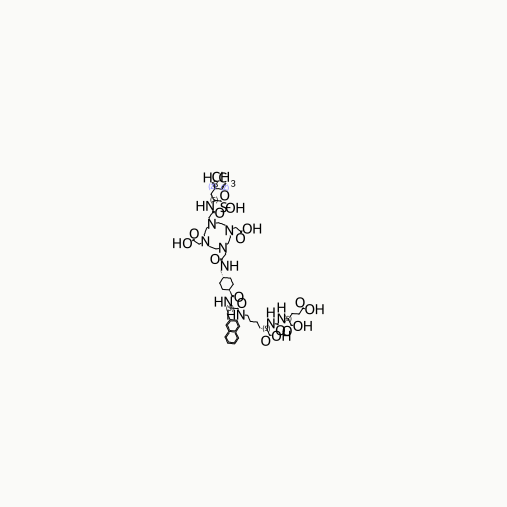 C/C=C\C(=C/C)C[C@H](NC(=O)CN1CCN(CC(=O)O)CCN(CC(=O)NC[C@H]2CC[C@H](C(=O)N[C@@H](Cc3ccc4ccccc4c3)C(=O)NCCCC[C@H](NC(=O)N[C@@H](CCC(=O)O)C(=O)O)C(=O)O)CC2)CCN(CC(=O)O)CC1)C(=O)SO